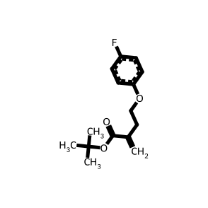 C=C(CCOc1ccc(F)cc1)C(=O)OC(C)(C)C